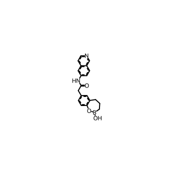 O=C(Cc1ccc2c(c1)CCCB(O)O2)Nc1ccc2cnccc2c1